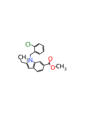 CCc1cc2ccc(C(=O)OC)cc2n1Cc1ccccc1Cl